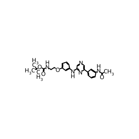 CC(=O)Nc1cccc(-c2cncc(Nc3cccc(OCCNC(=O)OC(C)(C)C)c3)n2)c1